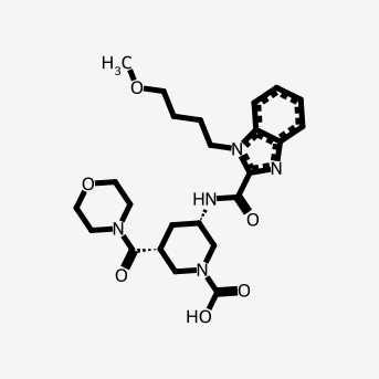 COCCCCn1c(C(=O)N[C@H]2C[C@@H](C(=O)N3CCOCC3)CN(C(=O)O)C2)nc2ccccc21